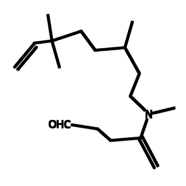 C=CC(C)(C)CCC(C)CCN(C)C(=C)CCC=O